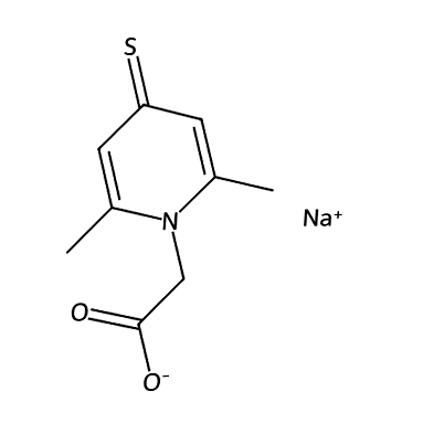 Cc1cc(=S)cc(C)n1CC(=O)[O-].[Na+]